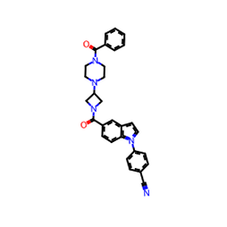 N#Cc1ccc(-n2ccc3cc(C(=O)N4CC(N5CCN(C(=O)c6ccccc6)CC5)C4)ccc32)cc1